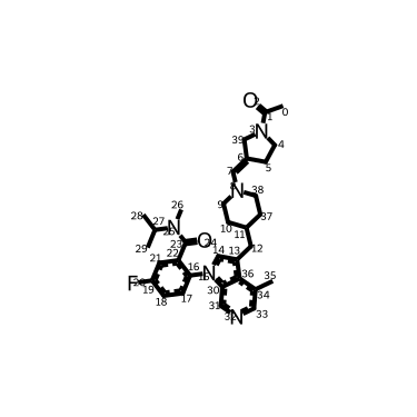 CC(=O)N1CC/C(=C\N2CCC(Cc3cn(-c4ccc(F)cc4C(=O)N(C)C(C)C)c4cncc(C)c34)CC2)C1